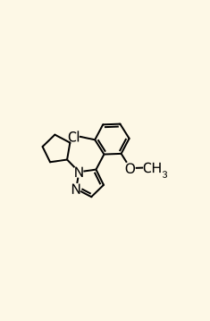 COc1cccc(Cl)c1-c1ccnn1C1CCCC1